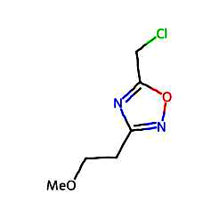 COCCc1noc(CCl)n1